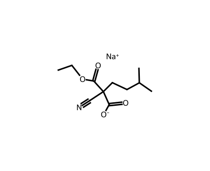 CCOC(=O)C(C#N)(CCC(C)C)C(=O)[O-].[Na+]